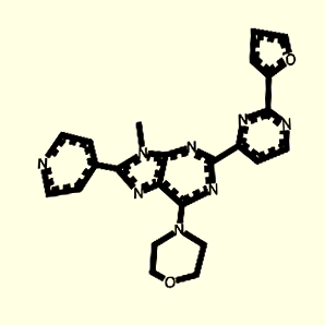 Cn1c(-c2ccncc2)nc2c(N3CCOCC3)nc(-c3ccnc(-c4ccco4)n3)nc21